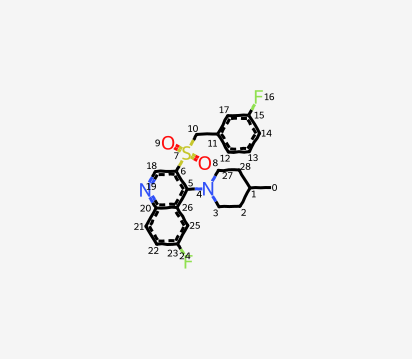 CC1CCN(c2c(S(=O)(=O)Cc3cccc(F)c3)cnc3ccc(F)cc23)CC1